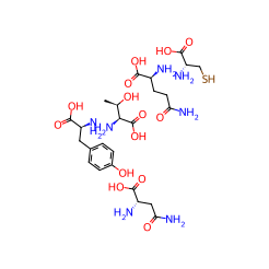 C[C@@H](O)[C@H](N)C(=O)O.NC(=O)CC[C@H](N)C(=O)O.NC(=O)C[C@H](N)C(=O)O.N[C@@H](CS)C(=O)O.N[C@@H](Cc1ccc(O)cc1)C(=O)O